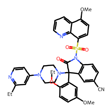 CCOc1ccc(OC)cc1C1(N2CCN(c3ccnc(CC)c3)CC2)C(=O)N(S(=O)(=O)c2ccc(OC)c3cccnc23)c2ccc(C#N)cc21